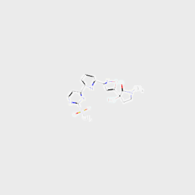 CN1CCC(O)(c2cc(-c3cccc(-c4ccnc(S(C)(=O)=O)n4)n3)no2)C1=O